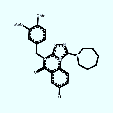 COc1ccc(Cn2c(=O)c3cc(Cl)ccc3n3c(N4CCCCCC4)nnc23)cc1OC